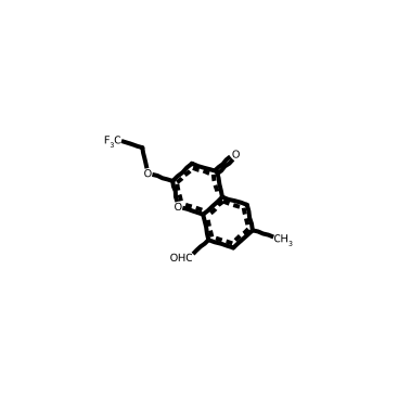 Cc1cc(C=O)c2oc(OCC(F)(F)F)cc(=O)c2c1